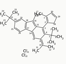 CC1=C(c2c(C(C)(C)C)c(=C(C)C)cc3c2=[C]([Zr+2])c2cc(C(C)(C)C)ccc2-3)CC=C1.[Cl-].[Cl-]